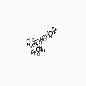 C[C@H](CC(=O)N1CCN(c2ncc(C(F)(F)F)cn2)CC1)N(C)Cc1cc(C(F)(F)F)c(=O)[nH]n1